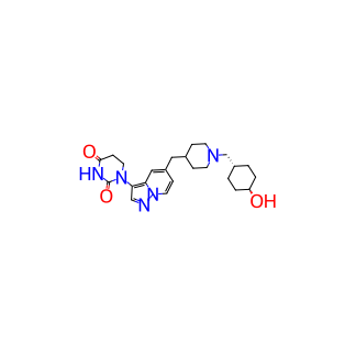 O=C1CCN(c2cnn3ccc(CC4CCN(C[C@H]5CC[C@H](O)CC5)CC4)cc23)C(=O)N1